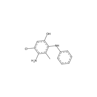 Cc1c(N)c(Cl)cc(O)c1Nc1ccccc1